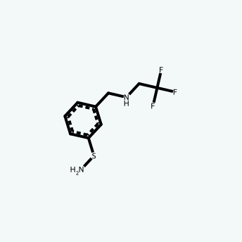 NSc1cccc(CNCC(F)(F)F)c1